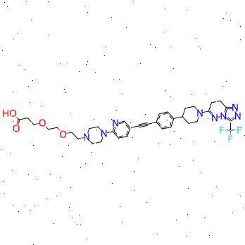 O=C(O)CCOCCOCCN1CCN(c2ccc(C#Cc3ccc(C4CCN(C5=Nn6c(nnc6C(F)(F)F)CC5)CC4)cc3)cn2)CC1